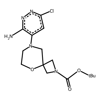 CC(C)(C)OC(=O)N1CC2(C1)CN(c1cc(Cl)nnc1N)CCO2